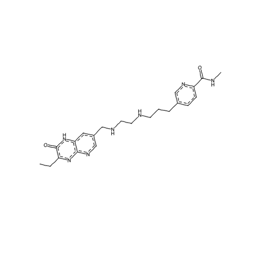 CCc1nc2ncc(CNCCNCCCc3ccc(C(=O)NC)nc3)cc2[nH]c1=O